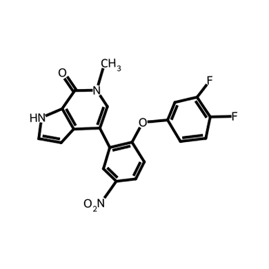 Cn1cc(-c2cc([N+](=O)[O-])ccc2Oc2ccc(F)c(F)c2)c2cc[nH]c2c1=O